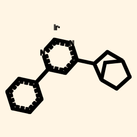 [Ir].c1ccc(-c2cc(C3CC4CCC3C4)ncn2)cc1